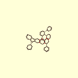 c1ccc(-c2cccc(N(c3ccc4c(c3)c3ccccc3n4-c3ccccc3)c3cccc(-c4ccccc4)c3-c3ccccc3-c3ccccc3)c2)cc1